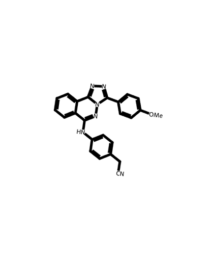 COc1ccc(-c2nnc3c4ccccc4c(Nc4ccc(CC#N)cc4)nn23)cc1